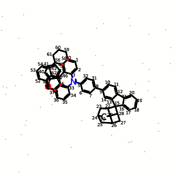 c1ccc(N(c2ccc(-c3ccc4c(c3)C3(c5ccccc5-4)C4CC5CC6CC3C64C5)cc2)c2cccc3oc4ccccc4c23)c(-c2cccc3cccc(C4CCCCC4)c23)c1